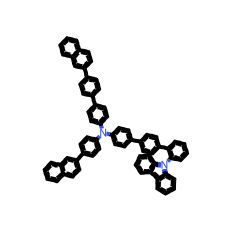 c1ccc(-n2c3ccccc3c3ccccc32)c(-c2ccc(-c3ccc(N(c4ccc(-c5ccc(-c6ccc7ccccc7c6)cc5)cc4)c4ccc(-c5ccc6ccccc6c5)cc4)cc3)cc2)c1